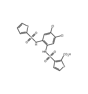 O=C(O)c1sccc1S(=O)(=O)Nc1cc(Cl)c(Cl)cc1NS(=O)(=O)c1cccs1